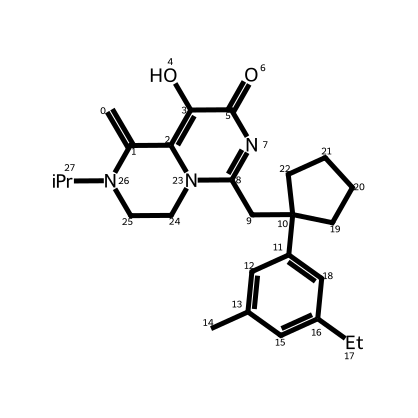 C=C1c2c(O)c(=O)nc(CC3(c4cc(C)cc(CC)c4)CCCC3)n2CCN1C(C)C